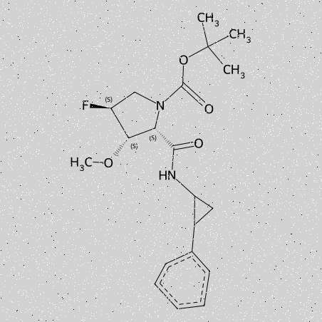 CO[C@H]1[C@@H](C(=O)NC2CC2c2ccccc2)N(C(=O)OC(C)(C)C)C[C@@H]1F